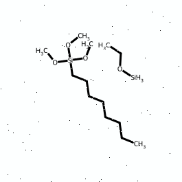 CCCCCCCC[Si](OC)(OC)OC.CCO[SiH3]